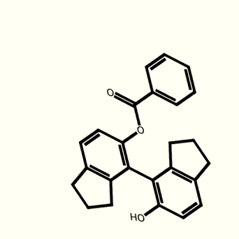 O=C(Oc1ccc2c(c1-c1c(O)ccc3c1CCC3)CCC2)c1ccccc1